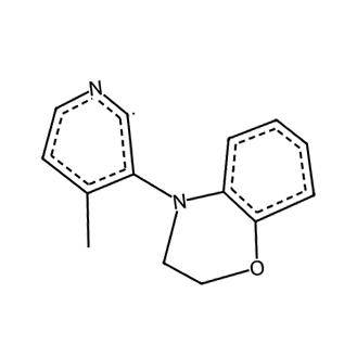 Cc1ccn[c]c1N1CCOc2ccccc21